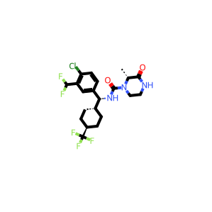 C[C@@H]1C(=O)NCCN1C(=O)N[C@@H](c1ccc(Cl)c(C(F)F)c1)[C@H]1CC[C@H](C(F)(F)F)CC1